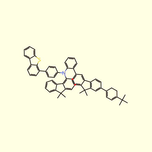 CC(C)(C)C1=CC=C(c2ccc3c(c2)C(C)(C)c2ccc(-c4ccccc4N(c4ccc(-c5cccc6c5sc5ccccc56)cc4)c4cccc5c4-c4ccccc4C5(C)C)cc2-3)CC1